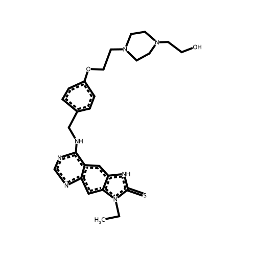 CCn1c(=S)[nH]c2cc3c(NCc4ccc(OCCN5CCN(CCO)CC5)cc4)ncnc3cc21